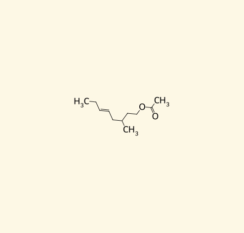 CCC=CCC(C)CCOC(C)=O